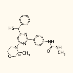 CNC(=O)Nc1ccc(-c2nc(C(S)c3ccccc3)cc(N3CCOC[C@@H]3C)n2)cc1